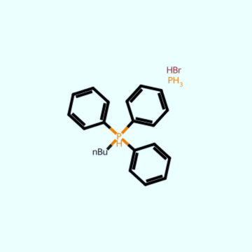 Br.CCCC[PH](c1ccccc1)(c1ccccc1)c1ccccc1.P